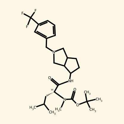 CC(C)C[C@H](C(=O)NC1CCC2CN(Cc3cccc(C(F)(F)F)c3)CC21)N(C)C(=O)OC(C)(C)C